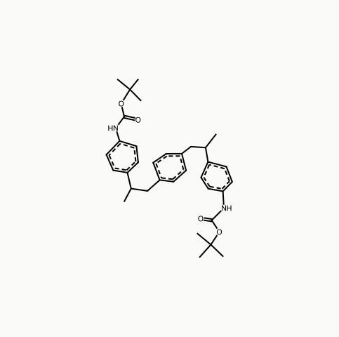 CC(Cc1ccc(CC(C)c2ccc(NC(=O)OC(C)(C)C)cc2)cc1)c1ccc(NC(=O)OC(C)(C)C)cc1